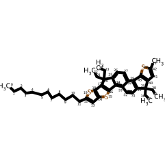 CCCCCCCCCCCCc1cc2sc3c(c2s1)C(CC)(CC)c1ccc2c4c(ccc2c1-3)C(CC)(CC)c1cc(C)sc1-4